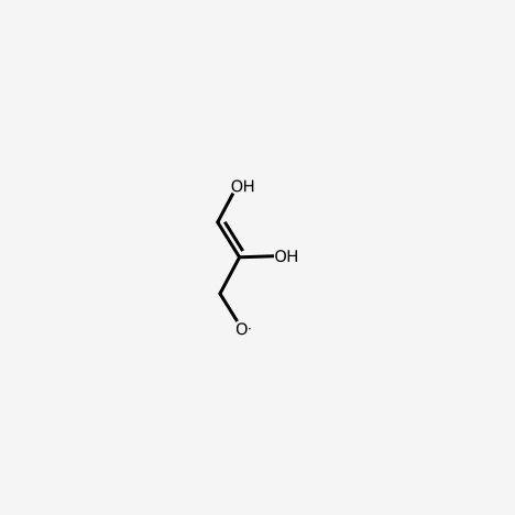 [O]C/C(O)=C/O